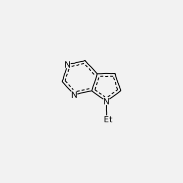 CCn1ccc2cncnc21